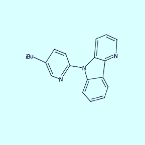 CCC(C)c1ccc(-n2c3ccccc3c3ncccc32)nc1